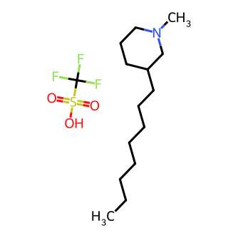 CCCCCCCCC1CCCN(C)C1.O=S(=O)(O)C(F)(F)F